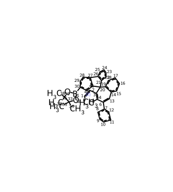 C/C=C\C1=C(C)C(c2ccccc2)=Cc2ccccc2C12c1ccccc1-c1ccc(B3OC(C)(C)C(C)(C)O3)cc12